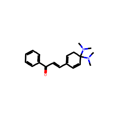 CN(C)C1(N(C)C)C=CC(C=CC(=O)c2ccccc2)=CC1